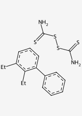 CCc1cccc(-c2ccccc2)c1CC.NC(=S)SSC(N)=S